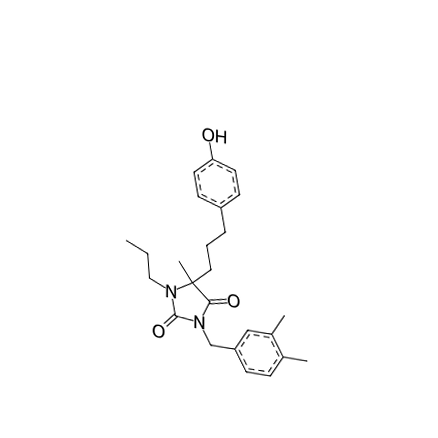 CCCN1C(=O)N(Cc2ccc(C)c(C)c2)C(=O)C1(C)CCCc1ccc(O)cc1